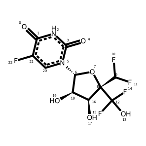 O=c1[nH]c(=O)n([C@@H]2O[C@](C(F)F)(C(O)(F)F)[C@@H](O)[C@H]2O)cc1F